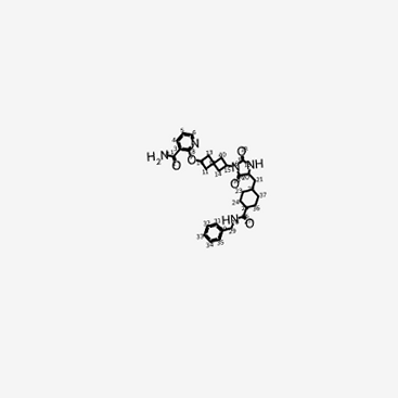 NC(=O)c1cccnc1OC1CC2(C1)CC(N1C(=O)NC(CC3CCC(C(=O)NCc4ccccc4)CC3)C1=O)C2